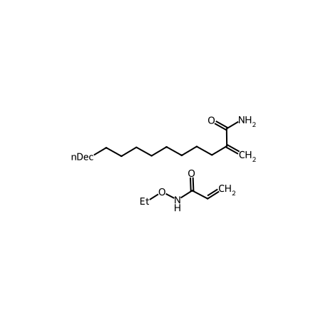 C=C(CCCCCCCCCCCCCCCCCC)C(N)=O.C=CC(=O)NOCC